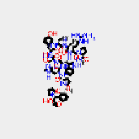 CC1(C)Oc2ccc(C#N)cc2[C@@H](N2CCCC2=O)[C@@H]1O.CCNC(=O)[C@@H]1CCCN1C(=O)[C@H](CCCNC(=N)N)NC(=O)[C@H](CC(C)C)NC(=O)[C@@H](CC(C)C)NC(=O)[C@H](Cc1ccc(O)cc1)NC(=O)[C@H](CO)NC(=O)[C@H](Cc1c[nH]c2ccccc12)NC(=O)[C@H](Cc1cnc[nH]1)NC(=O)[C@@H]1CCC(=O)N1